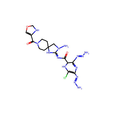 NN=NC1=NC(N=NN)=C(Cl)NC1C(=O)/N=C1/NC2(CCN(C(=O)C3=COCN3)CC2)CN1N